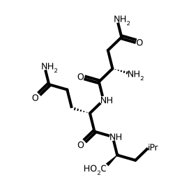 CC(C)C[C@H](NC(=O)[C@H](CCC(N)=O)NC(=O)[C@@H](N)CC(N)=O)C(=O)O